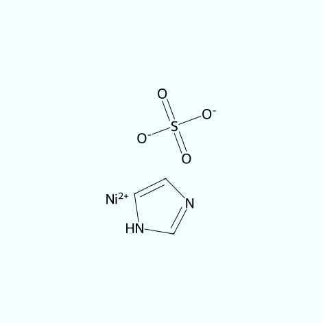 O=S(=O)([O-])[O-].[Ni+2].c1c[nH]cn1